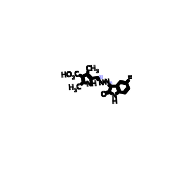 Cc1[nH]c(/C=N/N=C2\C(=O)Nc3ccc(F)cc32)c(C)c1C(=O)O